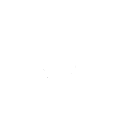 O=C(O)COc1ccc(Cl)cc1C1c2ccccc2CN1C(=O)CCn1ncc2c(Cl)cccc21